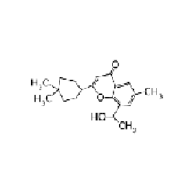 Cc1cc(C(C)O)c2oc(C3CCC(C)(C)CC3)cc(=O)c2c1